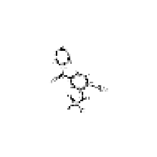 CS(=O)(=O)Nc1cc(C(=O)c2ccccc2)ccc1N